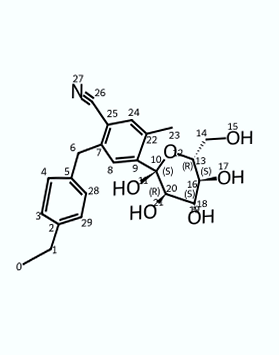 CCc1ccc(Cc2cc([C@]3(O)O[C@H](CO)[C@@H](O)[C@H](O)[C@H]3O)c(C)cc2C#N)cc1